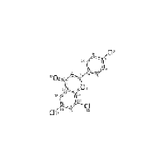 O=c1cc(-c2ccc(Cl)cc2)oc2c(Cl)cc(Cl)cc12